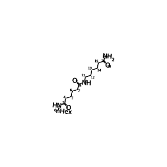 CCCCCCNC(=O)CCCCC(=O)NCCCCCC(N)=O